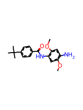 COc1cc(NC(=O)c2ccc(C(C)(C)C)cc2)c(OC)cc1N